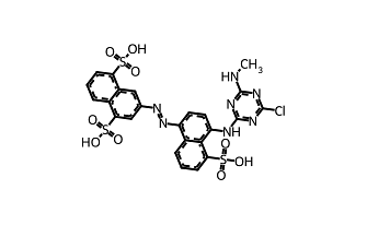 CNc1nc(Cl)nc(Nc2ccc(N=Nc3cc(S(=O)(=O)O)c4cccc(S(=O)(=O)O)c4c3)c3cccc(S(=O)(=O)O)c23)n1